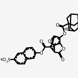 O=C1Oc2c(OC(=O)C34CC5CC(C3)C(O)C(C5)C4)c3oc2c1c3C(=O)Oc1ccc2cc(S(=O)(=O)O)ccc2c1